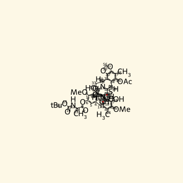 COc1cc2c(cc1OC(=O)[C@H](C)NC(=O)OC(C)(C)C)CCN[C@]21CS[C@@H]2c3c(OC(C)=O)c(C)c4c(c3[C@H](COC1=O)N1C2[C@@H]2c3c(cc(C)c(OC)c3O)C[C@@H]([C@@H]1O)N2C)OCO4